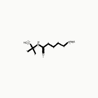 CCCCCCCCCCCC(=O)NC(C)(C)C(=O)O